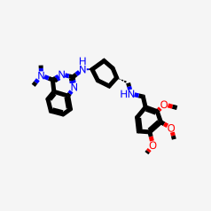 COc1ccc(CNC[C@H]2CC[C@@H](Nc3nc(N(C)C)c4ccccc4n3)CC2)c(OC)c1OC